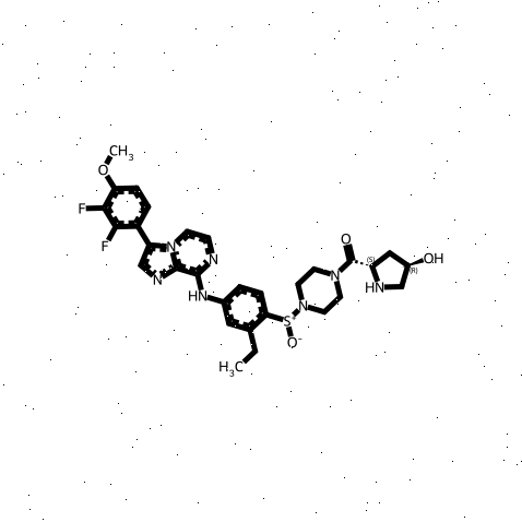 CCc1cc(Nc2nccn3c(-c4ccc(OC)c(F)c4F)cnc23)ccc1[S+]([O-])N1CCN(C(=O)[C@@H]2C[C@@H](O)CN2)CC1